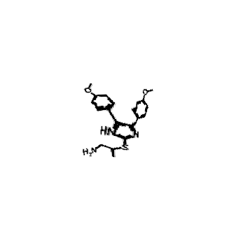 COc1ccc(-c2nc(SC(C)CN)[nH]c2-c2ccc(OC)cc2)cc1